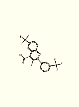 Cc1c(-c2cccc(C(F)(F)F)c2)nc2ccc(C(F)(F)F)cc2c1C(=O)O